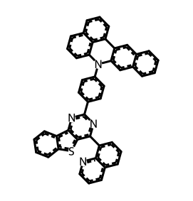 c1ccc2cc3c(cc2c1)-c1cccc2cccc(c12)N3c1ccc(-c2nc(-c3cccc4cccnc34)c3sc4ccccc4c3n2)cc1